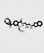 CCOc1cc(C(=O)N2C3CCC2COC3)ccc1C(=O)NC[C@@H](O)CNC1Cc2ccccc2C1